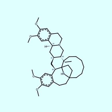 CC[C@H]1CN2CCc3cc(OC)c(OC)cc3[C@@H]2C[C@@H]1C[C@@H]1c2cc(OC)c(OC)cc2CCC23CCCCCCCC1(CC2)N3